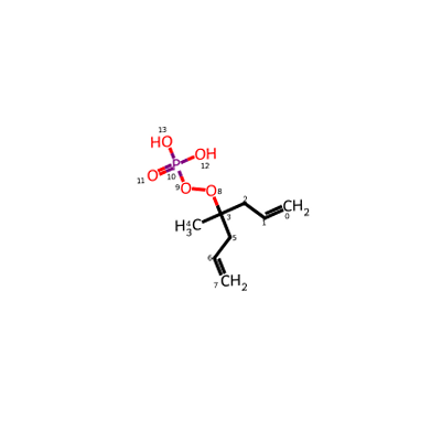 C=CCC(C)(CC=C)OOP(=O)(O)O